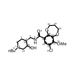 CCCCN1CC[C@@H](CNC(=O)c2cc(Cl)c(OC)c3c2OCCCO3)C(O)C1